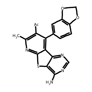 CC(=O)c1c(C)nc2sc3c(N)ncnc3c2c1-c1ccc2c(c1)OCO2